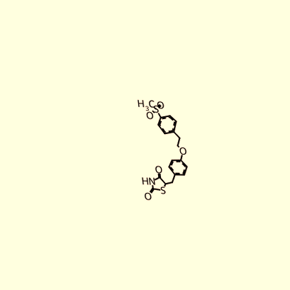 CS(=O)(=O)c1ccc(CCOc2ccc(CC3SC(=O)NC3=O)cc2)cc1